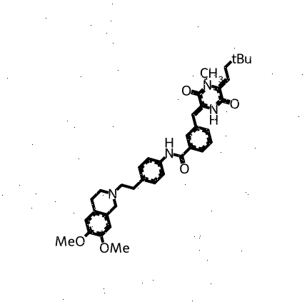 COc1cc2c(cc1OC)CN(CCc1ccc(NC(=O)c3cccc(/C=c4\[nH]c(=O)/c(=C/CC(C)(C)C)n(C)c4=O)c3)cc1)CC2